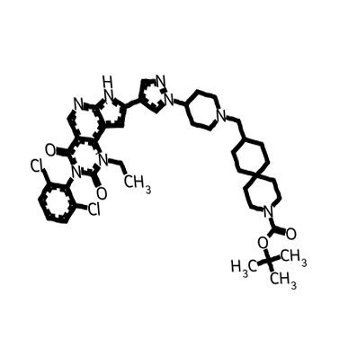 CCn1c(=O)n(-c2c(Cl)cccc2Cl)c(=O)c2cnc3[nH]c(-c4cnn(C5CCN(CC6CCC7(CC6)CCN(C(=O)OC(C)(C)C)CC7)CC5)c4)cc3c21